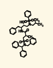 CC(C)CN(C[C@@H](O)[C@H](Cc1ccccc1)NC(=O)[C@@H](C)CS(=O)(=O)N(Cc1ccccc1)C(c1ccccc1)c1ccccc1)S(=O)(=O)c1ccccc1